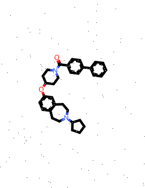 O=C(c1ccc(-c2ccccc2)cc1)N1CCC(Oc2ccc3c(c2)CCN(C2CCCC2)CC3)CC1